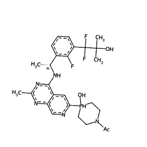 CC(=O)N1CC[PH](O)(c2cc3c(N[C@H](C)c4cccc(C(F)(F)C(C)(C)O)c4F)nc(C)nc3cn2)CC1